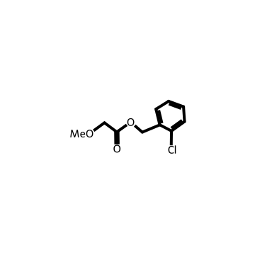 COCC(=O)OCc1ccccc1Cl